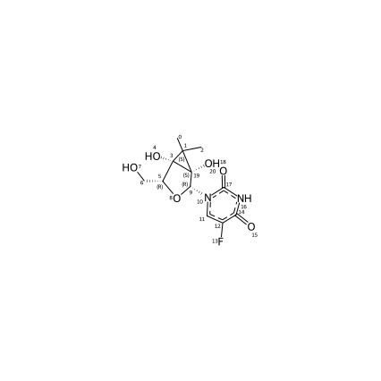 CC1(C)[C@]2(O)[C@@H](CO)O[C@@H](n3cc(F)c(=O)[nH]c3=O)[C@]12O